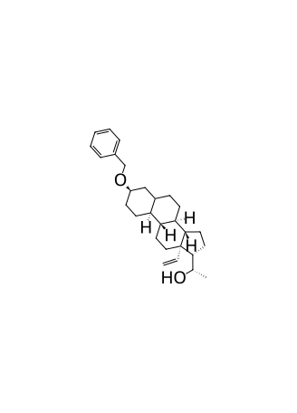 C=C[C@]12CC[C@H]3[C@@H](CCC4C[C@H](OCc5ccccc5)CC[C@@H]43)[C@@H]1CC[C@@H]2[C@H](C)O